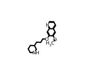 COc1cc2cccnc2cc1OCCCC1CCCNC1